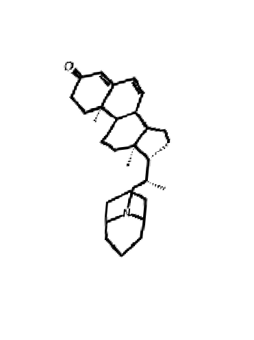 C[C@H](CN1C2CCCC1CCC2)[C@H]1CCC2C3C=CC4=CC(=O)CC[C@]4(C)C3CC[C@@]21C